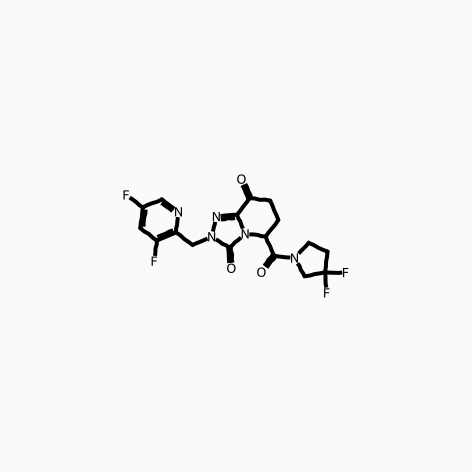 O=C1CCC(C(=O)N2CCC(F)(F)C2)n2c1nn(Cc1ncc(F)cc1F)c2=O